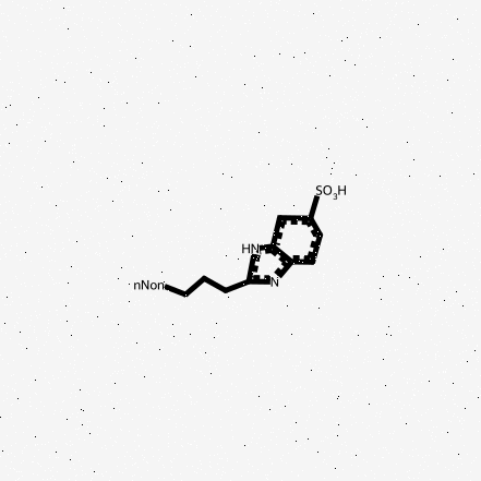 CCCCCCCCCCCCc1nc2ccc(S(=O)(=O)O)cc2[nH]1